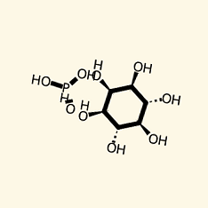 O=[PH](O)O.O[C@H]1[C@H](O)[C@@H](O)[C@H](O)[C@@H](O)[C@H]1O